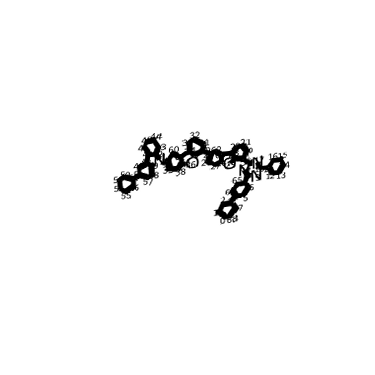 c1ccc(-c2ccc(-c3nc(-c4ccccc4)nc(-c4cccc5c4oc4ccc(-c6cccc7c6oc6ccc(-n8c9ccccc9c9cc(-c%10ccccc%10)ccc98)cc67)cc45)n3)cc2)cc1